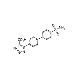 NS(=O)(=O)c1ccc(-c2ccc(-c3nn[nH]c3C(=O)O)cc2)cc1